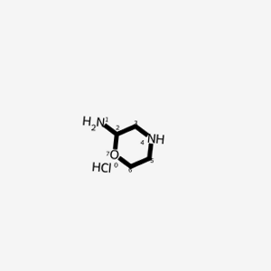 Cl.NC1CNCCO1